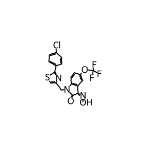 O=C1/C(=N\O)c2cc(OC(F)(F)F)ccc2N1Cc1csc(-c2ccc(Cl)cc2)n1